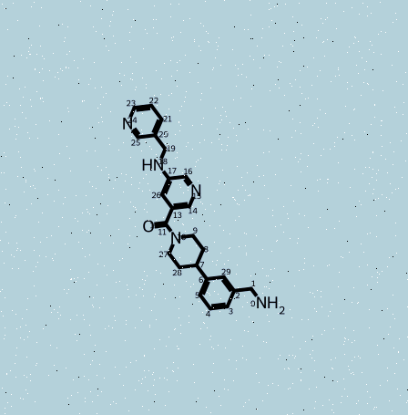 NCc1cccc(C2CCN(C(=O)c3cncc(NCc4cccnc4)c3)CC2)c1